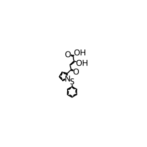 O=C(O)/C(O)=C/C(=O)c1cccn1Sc1ccccc1